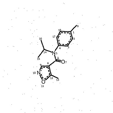 Cc1ccc(N(C(=O)c2cnoc2C)C(C)C)cc1